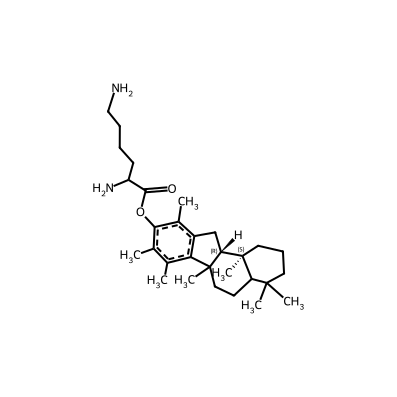 Cc1c(C)c2c(c(C)c1OC(=O)C(N)CCCCN)C[C@H]1C2(C)CCC2C(C)(C)CCC[C@@]21C